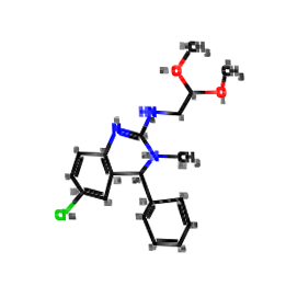 COC(CNC1=Nc2ccc(Cl)cc2C(c2ccccc2)N1C)OC